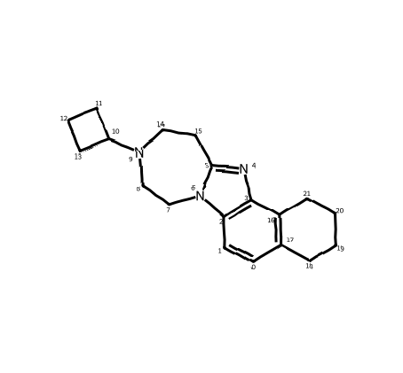 c1cc2c(nc3n2CCN(C2CCC2)CC3)c2c1CCCC2